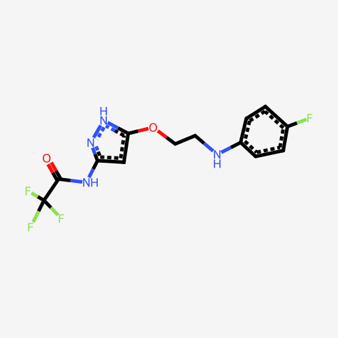 O=C(Nc1cc(OCCNc2ccc(F)cc2)[nH]n1)C(F)(F)F